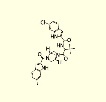 Cc1ccc2cc(C(=O)N3C[C@@H]4C[C@H]3CN4C(=O)[C@@H](NC(=O)c3cc4ccc(Cl)cc4[nH]3)C(C)(C)C)[nH]c2c1